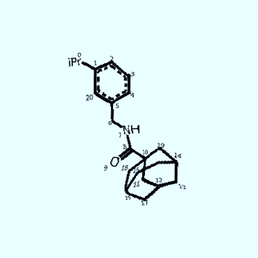 CC(C)c1cccc(CNC(=O)C23CC4CC(CC(C4)C2)C3)c1